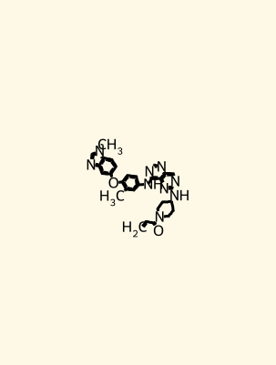 C=CC(=O)N1CCC(Nc2ncc3ncnc(Nc4ccc(Oc5ccc6c(c5)ncn6C)c(C)c4)c3n2)CC1